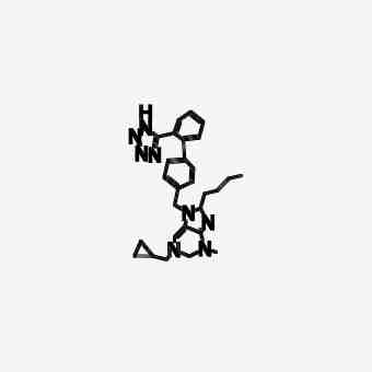 CCCCC1N=C2C(=CN(CC3CC3)CN2C)N1Cc1ccc(-c2ccccc2-c2nnn[nH]2)cc1